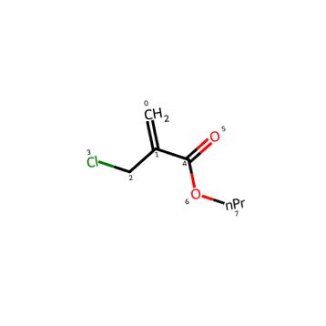 C=C(CCl)C(=O)OCCC